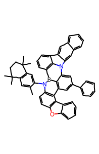 Cc1cc2c(cc1N1B3c4c(cc(-c5ccccc5)cc4-n4c5cc6ccccc6cc5c5cccc3c54)-c3c1ccc1oc4ccccc4c31)C(C)(C)CCC2(C)C